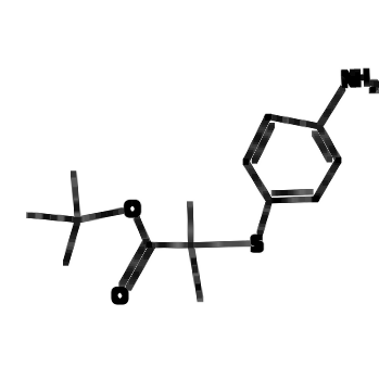 CC(C)(C)OC(=O)C(C)(C)Sc1ccc(N)cc1